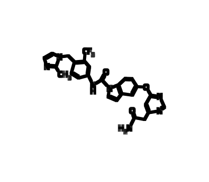 Cc1nccn1Cc1ccc(NC(=O)n2ccc3cc(Oc4cc(CC(N)=O)ncn4)ccc32)cc1C(F)(F)F